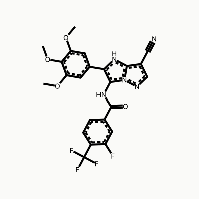 COc1cc(-c2[nH]c3c(C#N)cnn3c2NC(=O)c2ccc(C(F)(F)F)c(F)c2)cc(OC)c1OC